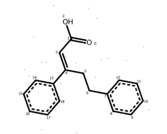 O=C(O)/C=C(\CCc1ccccc1)c1ccccc1